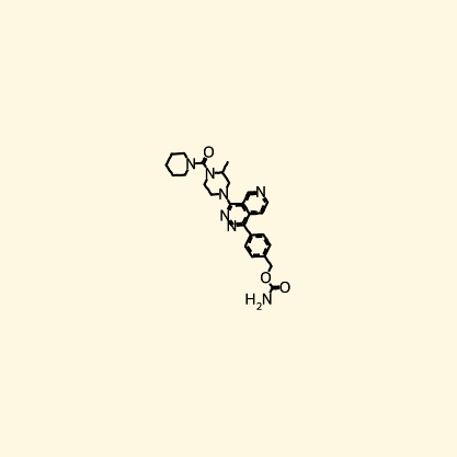 CC1CN(c2nnc(-c3ccc(COC(N)=O)cc3)c3ccncc23)CCN1C(=O)N1CCCCC1